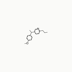 CCCc1ccc(C(C)c2ccc(OC)cc2)cn1